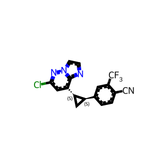 N#Cc1ccc([C@H]2C[C@@H]2c2cc(Cl)nn3ccnc23)cc1C(F)(F)F